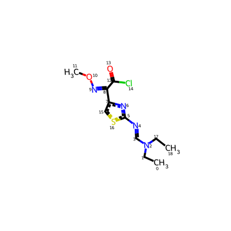 CCN(C=Nc1nc(C(=NOC)C(=O)Cl)cs1)CC